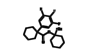 CCCCC1(OC(=O)C2(c3cc(F)c(F)c(F)c3)CCCCC2)CCCCC1